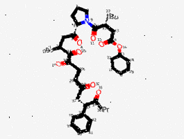 CCCCC(CC(=O)[C@@H]1CCCN1C(=O)[C@@H](CC(=O)OC1CCCCC1)C(C)(C)C)C(=O)C(=O)CCC(=O)C[C@H](C(=O)C(C)C)c1ccccc1